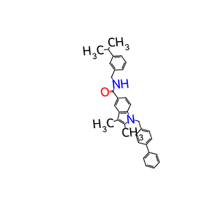 Cc1c(C)n(Cc2ccc(-c3ccccc3)cc2)c2ccc(C(=O)NCc3cccc(C(C)C)c3)cc12